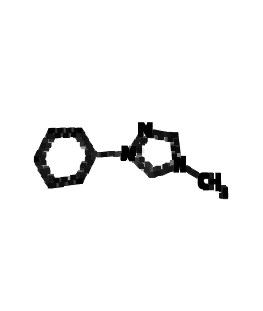 Cn1cn[n+](-c2ccccc2)c1